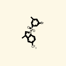 Cc1cc(Br)cc(S(=O)(=O)n2cc(C)c3cc(C(F)(F)F)ccc32)c1